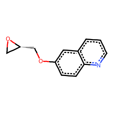 c1cnc2ccc(OC[C@@H]3CO3)cc2c1